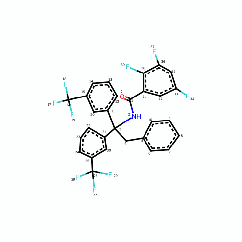 O=C(NC(Cc1ccccc1)(c1cccc(C(F)(F)F)c1)c1cccc(C(F)(F)F)c1)c1cc(F)cc(F)c1F